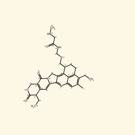 CCc1c(F)cc2nc3c(c4c2c1CCC4COCNC(=O)CNC)Cn1c-3cc2c(c1=O)COC(=O)C2CC